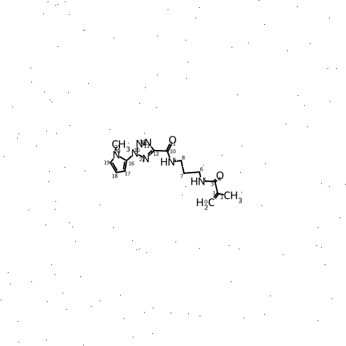 C=C(C)C(=O)NCCCNC(=O)c1nnn(-c2cccn2C)n1